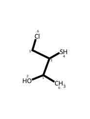 CC(O)C(S)CCl